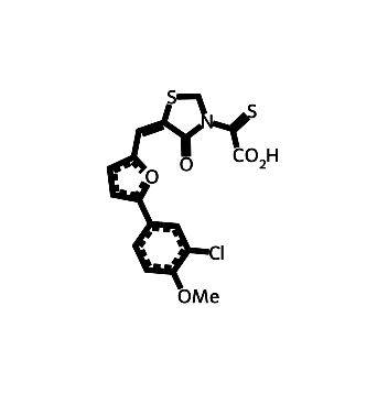 COc1ccc(-c2ccc(C=C3SCN(C(=S)C(=O)O)C3=O)o2)cc1Cl